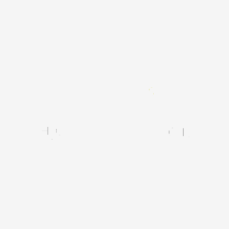 [CH2]CCC(C)[S]